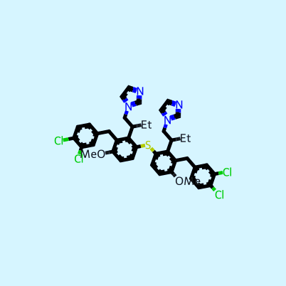 CCC(Cn1ccnc1)c1c(Sc2ccc(OC)c(Cc3ccc(Cl)c(Cl)c3)c2C(CC)Cn2ccnc2)ccc(OC)c1Cc1ccc(Cl)c(Cl)c1